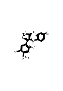 CCc1cc(-c2n[nH]c(C)c2Oc2ccc(Cl)cc2)c(O)cc1OC